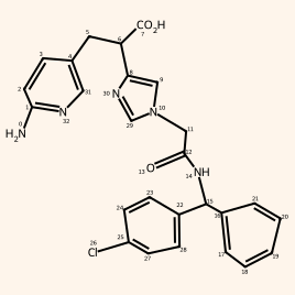 Nc1ccc(CC(C(=O)O)c2cn(CC(=O)NC(c3ccccc3)c3ccc(Cl)cc3)cn2)cn1